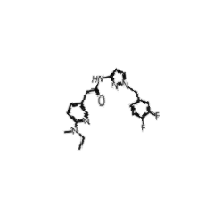 CCN(C)c1ccc(CC(=O)Nc2ccn(Cc3ccc(F)c(F)c3)n2)cn1